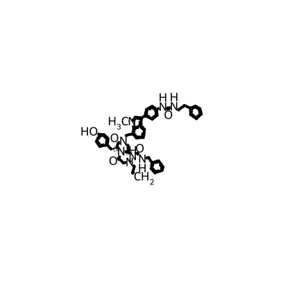 C=CCN1CC(=O)N2[C@@H](Cc3ccc(O)cc3)C(=O)N(Cc3cccc4c(-c5ccc(NC(=O)NCCc6ccccc6)cc5)cn(C)c34)C[C@@H]2N1C(=O)NCc1ccccc1